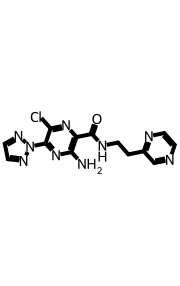 Nc1nc(-n2nccn2)c(Cl)nc1C(=O)NCCc1cnccn1